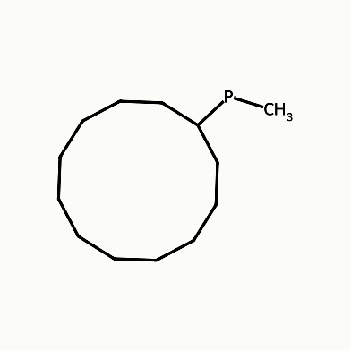 C[P]C1CCCCCCCCCCC1